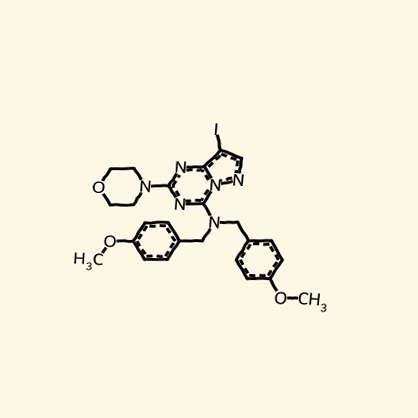 COc1ccc(CN(Cc2ccc(OC)cc2)c2nc(N3CCOCC3)nc3c(I)cnn23)cc1